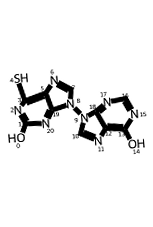 Oc1nc(S)c2ncn(-n3cnc4c(O)ncnc43)c2n1